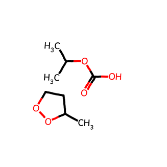 CC(C)OC(=O)O.CC1CCOO1